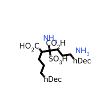 CCCCCCCCCCCCCC(C(=O)O)C(CCCCCCCCCCCCC)(C(=O)O)S(=O)(=O)O.N.N